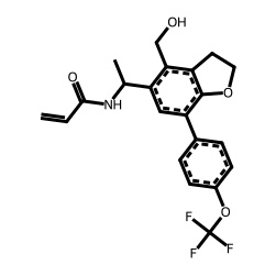 C=CC(=O)NC(C)c1cc(-c2ccc(OC(F)(F)F)cc2)c2c(c1CO)CCO2